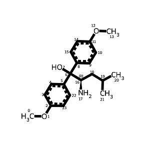 COc1ccc(C(O)(c2ccc(OC)cc2)[C@H](N)CC(C)C)cc1